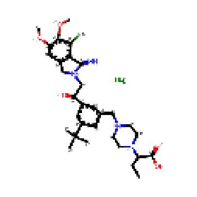 Br.CCC(C(=O)O)N1CCN(Cc2cc(C(=O)CN3Cc4cc(OC)c(OC)c(F)c4C3=N)cc(C(C)(C)C)c2)CC1